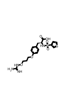 N=C(N)NOCCCOc1ccc(C[C@H](NS(=O)(=O)c2ccsc2)C(=O)O)cc1